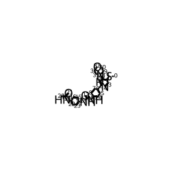 CSc1cnc(-c2ccc(NC(=O)Nc3ccc(NC(C)=O)cc3)cc2)nc1N1CCOCC1